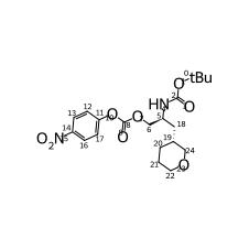 CC(C)(C)OC(=O)N[C@H](COC(=O)Oc1ccc([N+](=O)[O-])cc1)C[C@H]1CCCOC1